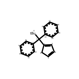 CC(C)(C)C(C1=CC=CC1)(c1ccccc1)c1ccccc1